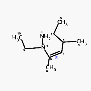 CCC(C)/C=C(/C)N(N)CC